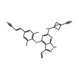 C=Cc1n[nH]c2nc(NC34CC(C#N)(C3)C4)nc(Oc3c(C)cc(/C=C/C#N)cc3C)c12